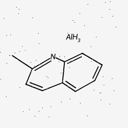 [AlH3].[CH2]c1ccc2ccccc2n1